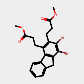 COC(=O)CCc1c(Br)c(Br)c2c(c1CCC(=O)OC)-c1ccccc1C2